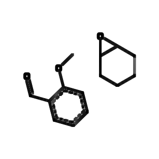 C1CCC2OC2C1.COc1ccccc1C=O